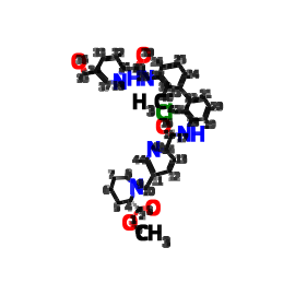 COC(=O)[C@@H]1CCCCN1Cc1ccc(C(=O)Nc2cccc(-c3cccc(NC(=O)c4ccc(C=O)cn4)c3C)c2Cl)nc1